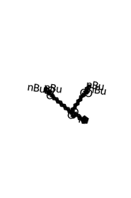 CCCCC(CCCC)CC(=O)OCCCCCCCCCCC1(CCCCCCCCOC(=O)CC(CCCC)CCCC)OCC(CCN2CCCC2)O1